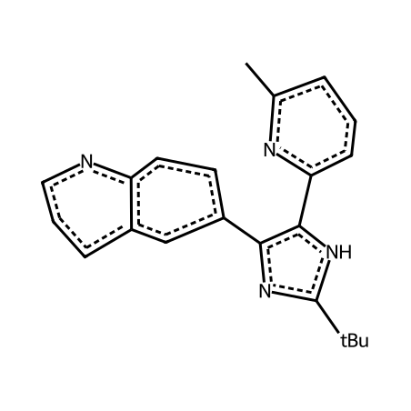 Cc1cccc(-c2[nH]c(C(C)(C)C)nc2-c2ccc3ncccc3c2)n1